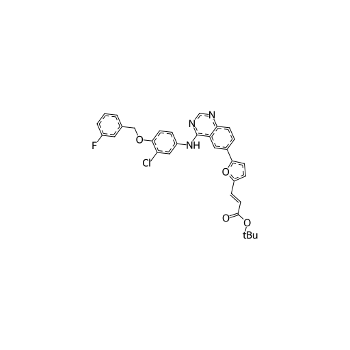 CC(C)(C)OC(=O)/C=C/c1ccc(-c2ccc3ncnc(Nc4ccc(OCc5cccc(F)c5)c(Cl)c4)c3c2)o1